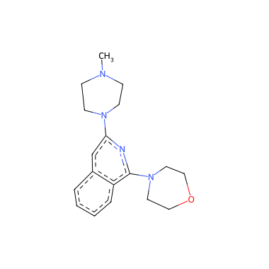 CN1CCN(c2cc3ccccc3c(N3CCOCC3)n2)CC1